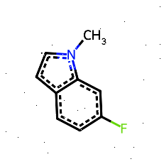 Cn1[c]cc2ccc(F)cc21